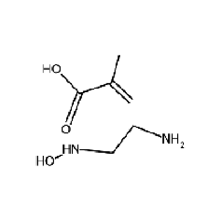 C=C(C)C(=O)O.NCCNO